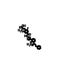 COC(CCc1ccccc1)c1cccc(-c2csc(NC(=O)c3cc(F)c(/C=C(\C)C(=O)O)c(F)c3)n2)c1F